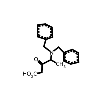 CC(C(=O)CC(=O)O)N(Cc1ccccc1)Cc1ccccc1